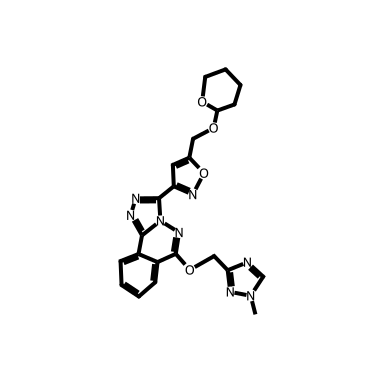 Cn1cnc(COc2nn3c(-c4cc(COC5CCCCO5)on4)nnc3c3ccccc23)n1